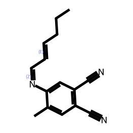 CCC/C=C/C=N\c1cc(C#N)c(C#N)cc1C